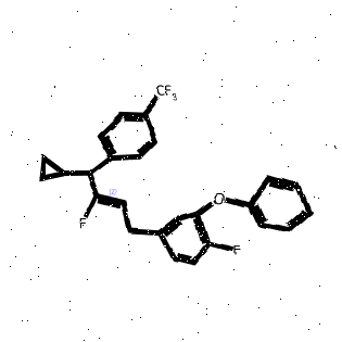 F/C(=C\Cc1ccc(F)c(Oc2ccccc2)c1)C(c1ccc(C(F)(F)F)cc1)C1CC1